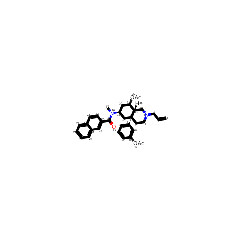 C=CCN1CC[C@@]2(c3cccc(OC(C)=O)c3)C[C@@H](N(C)C(=O)c3ccc4ccccc4c3)CC(OC(C)=O)[C@@H]2C1